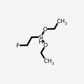 CCO[SiH](CCF)OCC